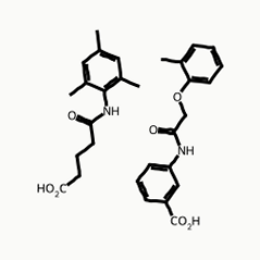 Cc1cc(C)c(NC(=O)CCCC(=O)O)c(C)c1.Cc1ccccc1OCC(=O)Nc1cccc(C(=O)O)c1